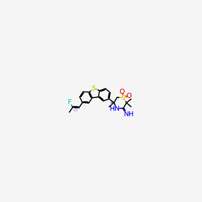 C/C(F)=C/c1ccc2sc3ccc([C@]4(C)CS(=O)(=O)C(C)(C)C(=N)N4)cc3c2c1